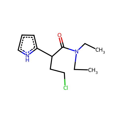 CCN(CC)C(=O)C(CCCl)c1ccc[nH]1